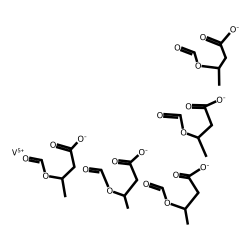 CC(CC(=O)[O-])OC=O.CC(CC(=O)[O-])OC=O.CC(CC(=O)[O-])OC=O.CC(CC(=O)[O-])OC=O.CC(CC(=O)[O-])OC=O.[V+5]